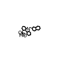 COC(=O)c1cccc2c1c1c(O)cccc1n2Cc1ccc2ccccc2c1